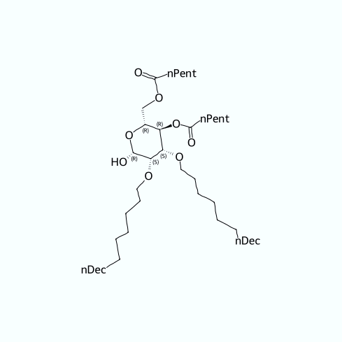 CCCCCCCCCCCCCCCCO[C@@H]1[C@H](OCCCCCCCCCCCCCCCC)[C@H](O)O[C@H](COC(=O)CCCCC)[C@H]1OC(=O)CCCCC